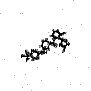 Cc1noc(-c2c(F)cccc2C(=O)N2CCC[C@@H](Nc3cnc(C(F)(F)F)cn3)C2)n1